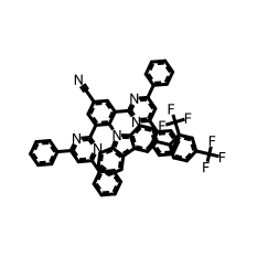 N#Cc1cc(-c2nc(-c3ccccc3)cc(-c3ccccc3)n2)c(-n2c3ccccc3c3cc(-c4ccc(C(F)(F)F)cc4C(F)(F)F)ccc32)c(-c2nc(-c3ccccc3)cc(-c3ccccc3)n2)c1